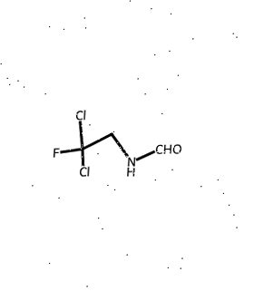 O=CNCC(F)(Cl)Cl